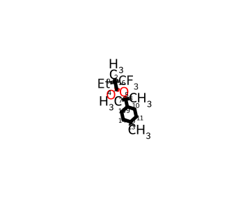 CCC(C)(C(=O)OC(C)(C)C1CCC(C)CC1)C(F)(F)F